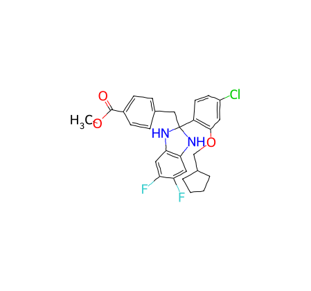 COC(=O)c1ccc(CC2(c3ccc(Cl)cc3OCC3CCCC3)Nc3cc(F)c(F)cc3N2)cc1